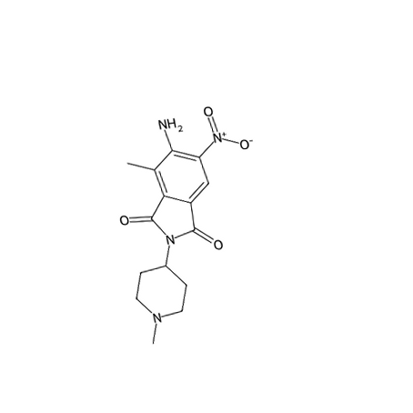 Cc1c(N)c([N+](=O)[O-])cc2c1C(=O)N(C1CCN(C)CC1)C2=O